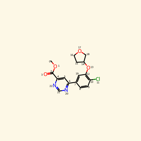 COC(=O)c1cc(-c2ccc(Cl)c(OC3CCOC3)c2)ncn1